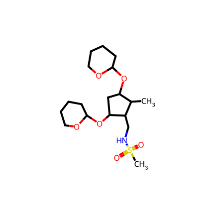 C[C]1C(OC2CCCCO2)CC(OC2CCCCO2)C1CNS(C)(=O)=O